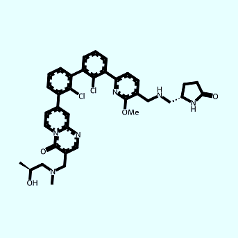 COc1nc(-c2cccc(-c3cccc(-c4ccn5c(=O)c(CN(C)C[C@H](C)O)cnc5c4)c3Cl)c2Cl)ccc1CNC[C@@H]1CCC(=O)N1